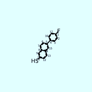 Fc1ccc(-c2ccc3cc(S)ccc3c2)cc1